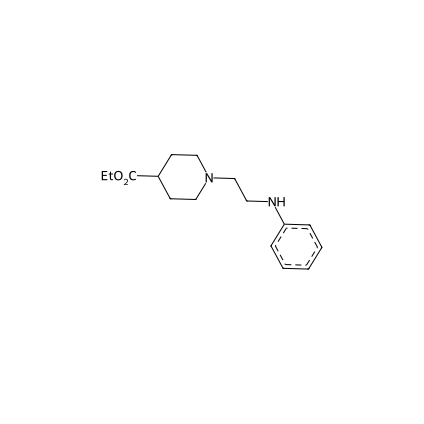 CCOC(=O)C1CCN(CCNc2ccccc2)CC1